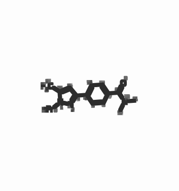 CCCn1nc(-c2ccc(C(=O)N(C)C)cc2)cc1C(F)(F)F